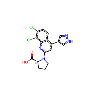 O=C(O)[C@@H]1CCCN1c1cc(-c2cn[nH]c2)c2ccc(Cl)c(Cl)c2n1